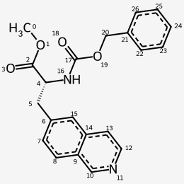 COC(=O)[C@@H](Cc1ccc2cnccc2c1)NC(=O)OCc1ccccc1